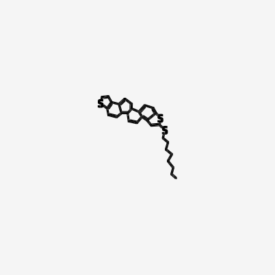 CCCCCCCCSc1cc2c(ccc3c2ccc2c4ccc5sccc5c4ccc32)s1